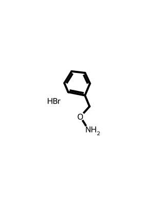 Br.NOCc1ccccc1